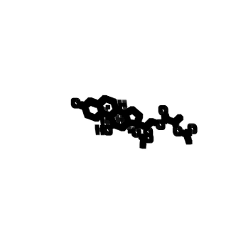 CC(=O)OC(C)C(=O)OCC(=O)[C@]1(OC(C)=O)CC[C@H]2[C@@H]3CCC4=CC(=O)CC[C@]4(C)[C@H]3[C@@H](O)C[C@@]21C